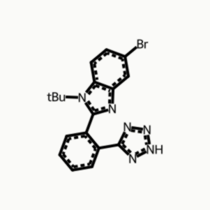 CC(C)(C)n1c(-c2ccccc2-c2nn[nH]n2)nc2cc(Br)ccc21